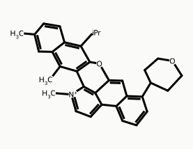 Cc1ccc2c(C(C)C)c3c(c(C)c2c1)-c1c2c(cc4c(C5CCOCC5)cccc4c2cc[n+]1C)O3